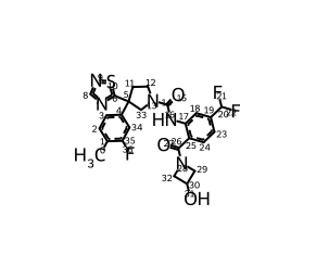 Cc1ccc(C2(c3ncns3)CCN(C(=O)Nc3cc(C(F)F)ccc3C(=O)N3CC(O)C3)C2)cc1F